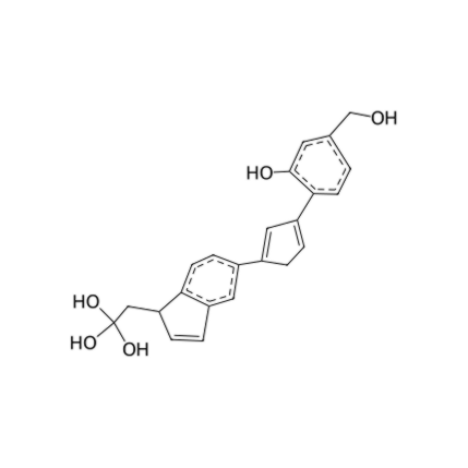 OCc1ccc(C2=CCC(c3ccc4c(c3)C=CC4CC(O)(O)O)=C2)c(O)c1